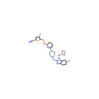 Cc1ccc2nc(CN3CCC(c4cccc(OCc5sc(C#N)cc5C)n4)CC3)n(C[C@@H]3CCO3)c2c1